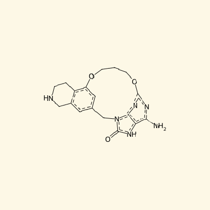 Nc1nc2nc3c1[nH]c(=O)n3Cc1cc3c(c(c1)OCCCO2)CCNC3